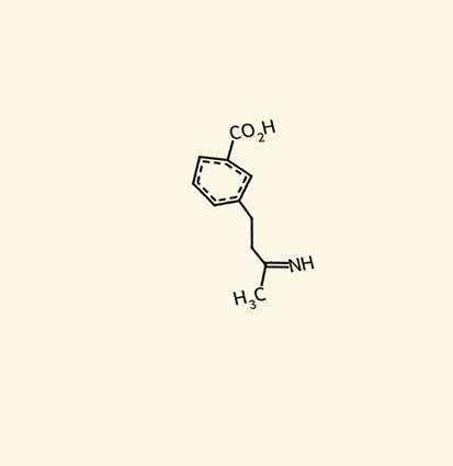 CC(=N)CCc1cccc(C(=O)O)c1